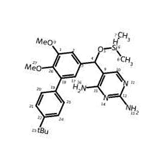 COc1cc(C(O[SiH](C)C)c2cnc(N)nc2N)cc(-c2ccc(C(C)(C)C)cc2)c1OC